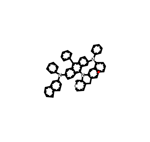 c1ccc(-c2c3cc(N(c4ccccc4)c4ccc5ccccc5c4)ccc3c(N3c4ccccc4Cc4ccccc43)c3cc(N(c4ccccc4)c4ccccc4)ccc23)cc1